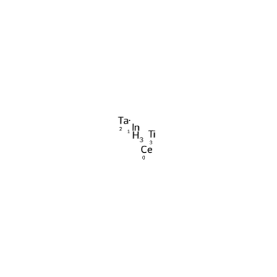 [Ce].[InH3].[Ta].[Ti]